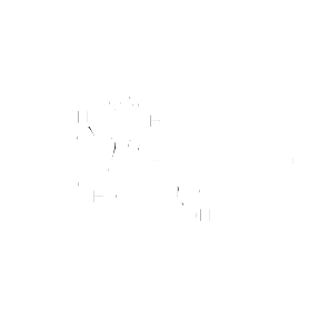 CC(=O)OCC(=O)[C@@]12OC3(CCCC3)O[C@@H]1C[C@H]1C3CCC4=CC(=O)C=CC4(C)[C@@]3(F)[C@@H](O)CC12C